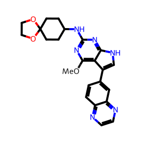 COc1nc(NC2CCC3(CC2)OCCO3)nc2[nH]cc(-c3ccc4nccnc4c3)c12